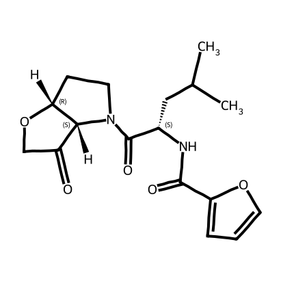 CC(C)C[C@H](NC(=O)c1ccco1)C(=O)N1CC[C@H]2OCC(=O)[C@H]21